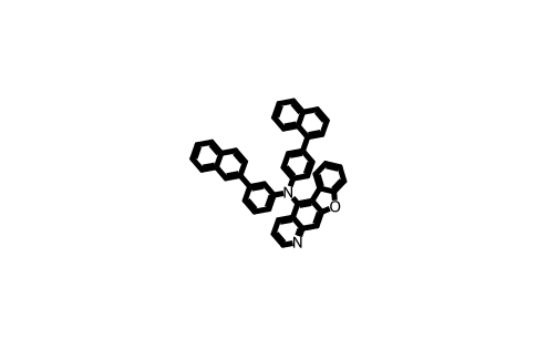 c1cc(-c2ccc3ccccc3c2)cc(N(c2ccc(-c3cccc4ccccc34)cc2)c2c3cccnc3cc3oc4ccccc4c23)c1